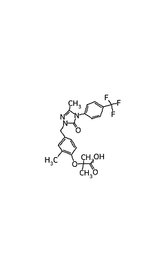 Cc1cc(Cn2nc(C)n(-c3ccc(C(F)(F)F)cc3)c2=O)ccc1OC(C)(C)C(=O)O